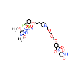 COc1cnc(OC)n2nc(NS(=O)(=O)c3c(OCCCC4CCN(CCOCCOCCOc5ccc6c(c5)C(=O)N(C5CCC(=O)NC5=O)C6=O)CC4)cccc3C(F)(F)F)nc12